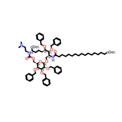 CCCCCCCCCCCCCCCCCCCCCCCCCC(=O)N[C@@H](CO[C@H]1O[C@H](COC(=O)NCCN(C)C)[C@H](OCc2ccccc2)[C@H](OCc2ccccc2)[C@H]1OCc1ccccc1)[C@H](OCc1ccccc1)[C@@H](CCCCCCCCCCCCCC)OCc1ccccc1